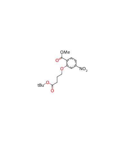 COC(=O)c1ccc([N+](=O)[O-])cc1OCCCC(=O)OC(C)(C)C